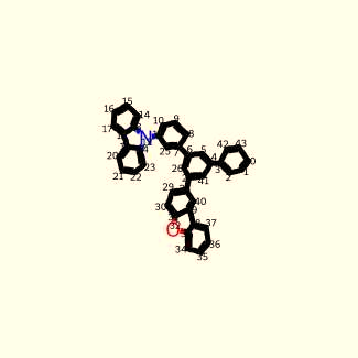 c1ccc(-c2cc(-c3cccc(-n4c5ccccc5c5ccccc54)c3)cc(-c3ccc4oc5ccccc5c4c3)c2)cc1